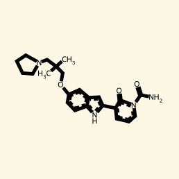 CC(C)(COc1ccc2[nH]c(-c3c[c]cn(C(N)=O)c3=O)cc2c1)CN1CCCC1